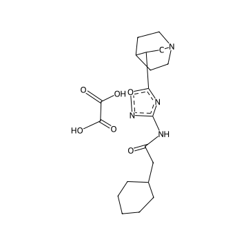 O=C(CC1CCCCC1)Nc1noc(C2CN3CCC2CC3)n1.O=C(O)C(=O)O